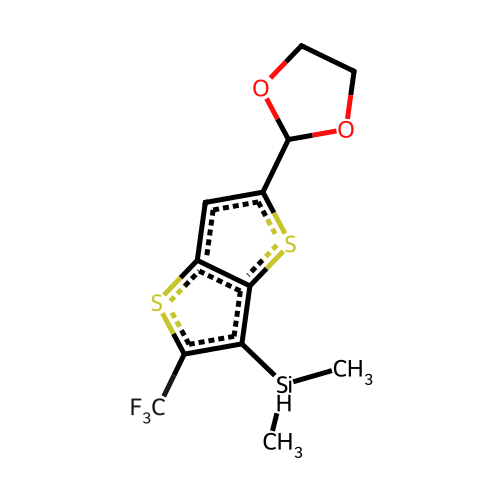 C[SiH](C)c1c(C(F)(F)F)sc2cc(C3OCCO3)sc12